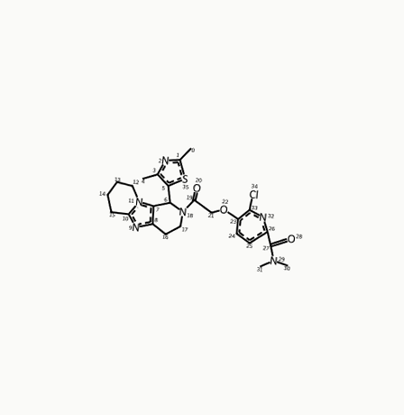 Cc1nc(C)c(C2c3c(nc4n3CCCC4)CCN2C(=O)COc2ccc(C(=O)N(C)C)nc2Cl)s1